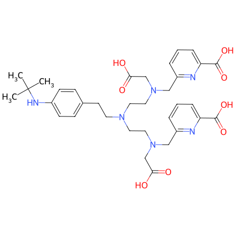 CC(C)(C)Nc1ccc(CCN(CCN(CC(=O)O)Cc2cccc(C(=O)O)n2)CCN(CC(=O)O)Cc2cccc(C(=O)O)n2)cc1